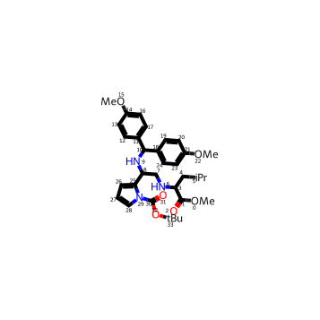 COC(=O)C(CC(C)C)NCC(NC(c1ccc(OC)cc1)c1ccc(OC)cc1)c1cccn1C(=O)OC(C)(C)C